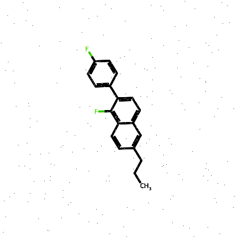 CCCc1ccc2c(F)c(-c3ccc(F)cc3)ccc2c1